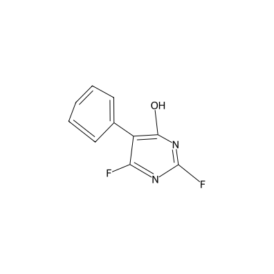 Oc1nc(F)nc(F)c1-c1ccccc1